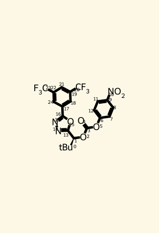 CC(C)(C)[C@H](OC(=O)Oc1ccc([N+](=O)[O-])cc1)c1nnc(-c2cc(C(F)(F)F)cc(C(F)(F)F)c2)o1